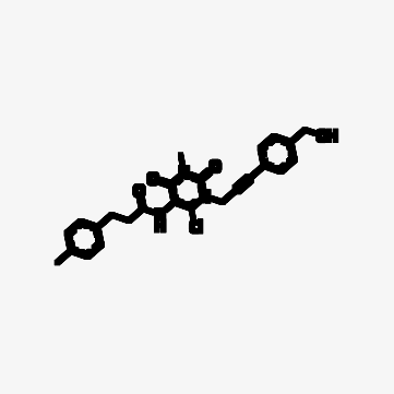 Cc1ccc(CCC(=O)Nc2c(Cl)n(CC#Cc3ccc(CO)cc3)c(=O)n(C)c2=O)cc1